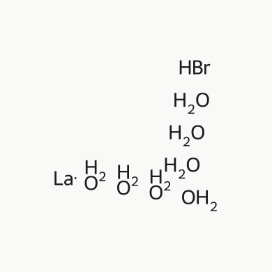 Br.O.O.O.O.O.O.O.[La]